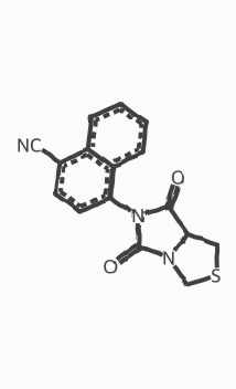 N#Cc1ccc(N2C(=O)C3CSCN3C2=O)c2ccccc12